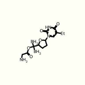 BC(B)(OC(=O)CN)C1CCC(n2cc(CC)c(=O)[nH]c2=O)O1